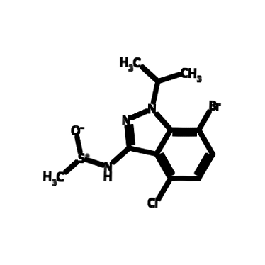 CC(C)n1nc(N[S+](C)[O-])c2c(Cl)ccc(Br)c21